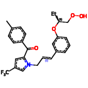 CC[C@@H](COO)Oc1cccc(/C=C/Cn2cc(C(F)(F)F)cc2C(=O)c2ccc(C)cc2)c1